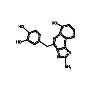 Nc1nc2c3cccc(O)c3nc(Cc3ccc(O)c(O)c3)n2n1